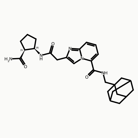 NC(=O)[C@H]1CCC[C@H]1NC(=O)Cc1cn2c(C(=O)NCC34CC5CC(CC(C5)C3)C4)cccc2n1